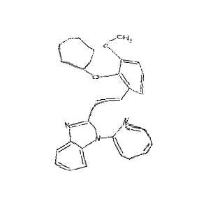 COc1cccc(/C=C/c2nc3ccccc3n2-c2ccccn2)c1OC1CCCC1